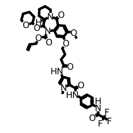 C=CCOC(=O)N1c2cc(OCCCC(=O)Nc3cc(C(=O)Nc4ccc(NC(=O)C(F)(F)F)cc4)n(C)c3)c(OC)cc2C(=O)N2CCCC[C@H]2C1OC1CCCCO1